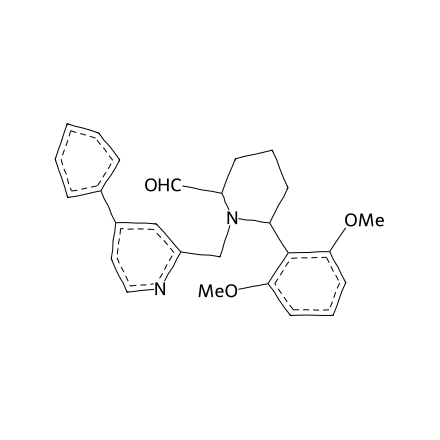 COc1cccc(OC)c1C1CCCC(C=O)N1Cc1cc(-c2ccccc2)ccn1